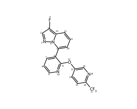 Fc1cnn2c(-c3cccnc3Oc3ccc(C(F)(F)F)nc3)cccc12